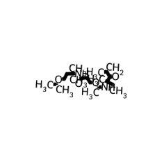 C=C(C)C(=O)C(C)(CC)NC(C)OCCC(=O)NC(C)(C)CCOC(C)C